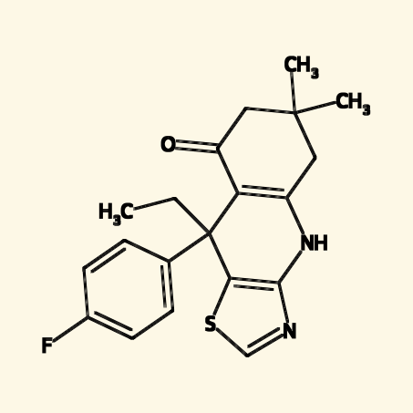 CCC1(c2ccc(F)cc2)C2=C(CC(C)(C)CC2=O)Nc2ncsc21